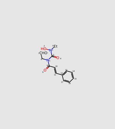 CCN(O)C(=O)N(C[C]=O)C(=O)C=Cc1ccccc1